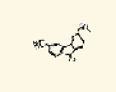 C/N=C\c1ccc2c(c1)-c1cc(C#N)ccc1C2=O